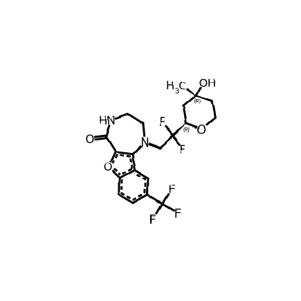 C[C@@]1(O)CCO[C@@H](C(F)(F)CN2CCNC(=O)c3oc4ccc(C(F)(F)F)cc4c32)C1